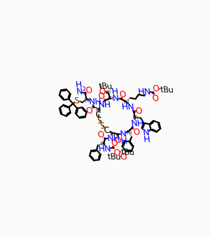 C[C@@H](OC(C)(C)C)[C@@H]1NC(=O)[C@H](CCCCNC(=O)OC(C)(C)C)NC(=O)[C@@H](Cc2c[nH]c3ccccc23)NC(=O)[C@H](Cc2ccc(OC(C)(C)C)cc2)NC(=O)[C@@H](NC(=O)[C@@H](Cc2ccccc2)NC(=O)OC(C)(C)C)CSSC[C@@H](C(=O)N[C@@H](CSC(c2ccccc2)(c2ccccc2)c2ccccc2)C(N)=O)NC1=O